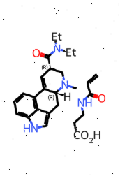 C=CC(=O)NCCC(=O)O.CCN(CC)C(=O)[C@@H]1C=C2c3cccc4[nH]cc(c34)C[C@H]2N(C)C1